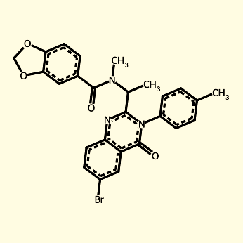 Cc1ccc(-n2c(C(C)N(C)C(=O)c3ccc4c(c3)OCO4)nc3ccc(Br)cc3c2=O)cc1